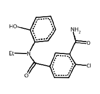 CCN(C(=O)c1ccc(Cl)c(C(N)=O)c1)c1ccccc1O